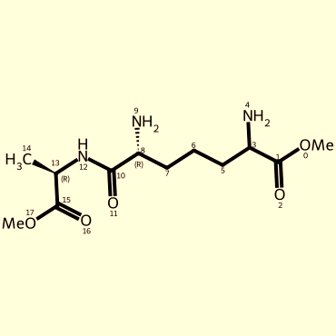 COC(=O)C(N)CCC[C@@H](N)C(=O)N[C@H](C)C(=O)OC